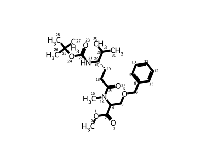 COC(=O)C(COCc1ccccc1)N(C)C(=O)CC[C@H](NC(=O)OC(C)(C)C)C(C)C